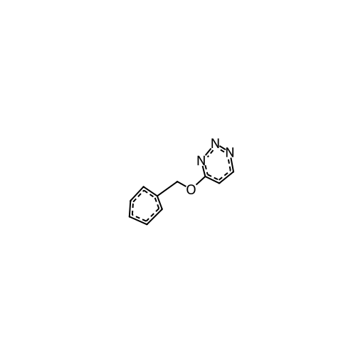 c1ccc(COc2ccnnn2)cc1